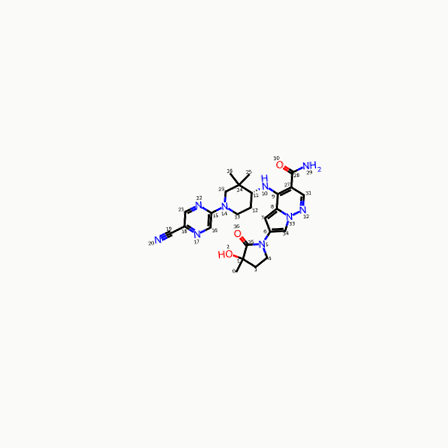 CC1(O)CCN(c2cc3c(N[C@@H]4CCN(c5cnc(C#N)cn5)CC4(C)C)c(C(N)=O)cnn3c2)C1=O